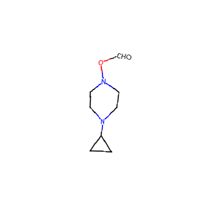 O=CON1CCN(C2CC2)CC1